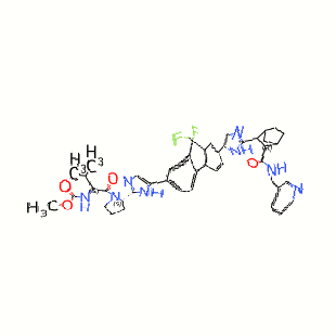 COC(=O)N[C@H](C(=O)N1CCC[C@H]1c1ncc(-c2ccc3c(c2)C(F)(F)c2cc(-c4cnc(C5C6CCC(C6)[C@H]5C(=O)NCc5cccnc5)[nH]4)ccc2-3)[nH]1)C(C)C